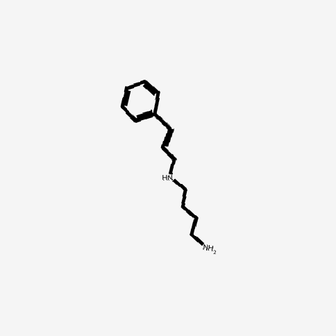 NCCCCNCC=Cc1ccccc1